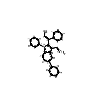 C=Cc1c(C(=CCC)c2ccccc2)n(-c2ccccc2)c2ccc(-c3ccccc3)cc12